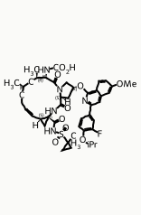 COc1ccc2c(O[C@@H]3C[C@H]4C(=O)N[C@]5(C(=O)NS(=O)(=O)C6(C)CC6)C[C@H]5C=CCC[C@@H](C)C[C@@H](C)[C@H](NC(=O)O)C(=O)N4C3)nc(-c3ccc(OC(C)C)c(F)c3)cc2c1